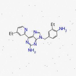 CCc1ccnc(-c2nc(N)nc3c2ncn3Cc2ccc(N)c(CC)c2)c1